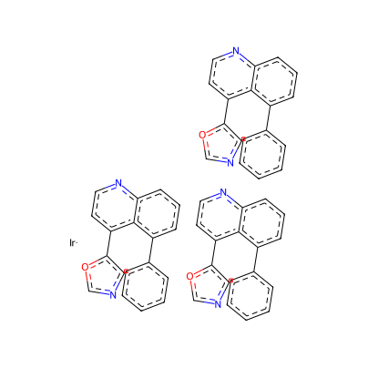 [Ir].c1ccc(-c2cccc3nccc(-c4cnco4)c23)cc1.c1ccc(-c2cccc3nccc(-c4cnco4)c23)cc1.c1ccc(-c2cccc3nccc(-c4cnco4)c23)cc1